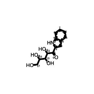 O=C(c1cc2ccccc2[nH]1)C(O)C(O)C(O)CO